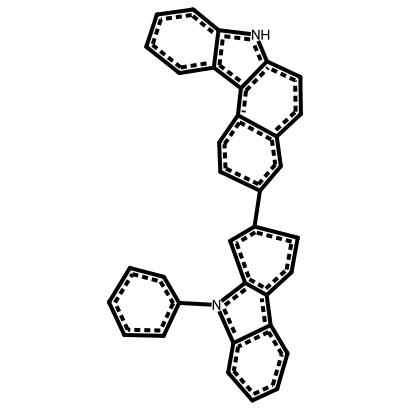 c1ccc(-n2c3ccccc3c3ccc(-c4ccc5c(ccc6[nH]c7ccccc7c65)c4)cc32)cc1